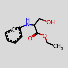 CCOC(=O)C(CO)Nc1ccccc1